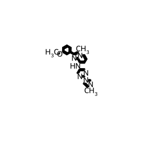 COc1cccc(-c2nc3c(Nc4cnc(-n5cnc(C)c5)nc4)cccn3c2C)c1